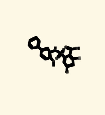 COc1ccc(-c2ccccc2)cc1NS(=O)(=O)c1cc(Cl)cc(Cl)c1C(=O)O